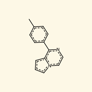 Cc1ccc(-c2nccn3cccc23)cc1